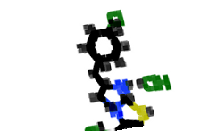 Cl.ClCC1=CSC2=NC(Cc3ccc(Cl)cc3)CN12